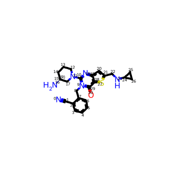 N#Cc1ccccc1Cn1c(N2CCC[C@@H](N)C2)nc2cc(CNC3CC3)sc2c1=O